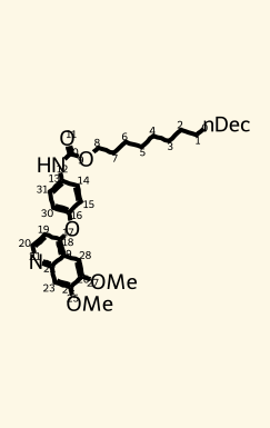 CCCCCCCCCCCCCCCCCCOC(=O)Nc1ccc(Oc2ccnc3cc(OC)c(OC)cc23)cc1